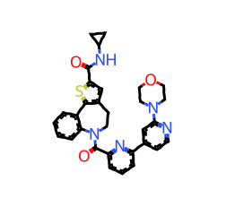 O=C(NC1CC1)c1cc2c(s1)-c1ccccc1N(C(=O)c1cccc(-c3ccnc(N4CCOCC4)c3)n1)CC2